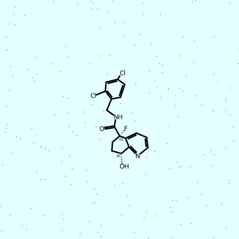 O=C(NCc1ccc(Cl)cc1Cl)[C@]1(F)CC[C@@H](O)c2ncccc21